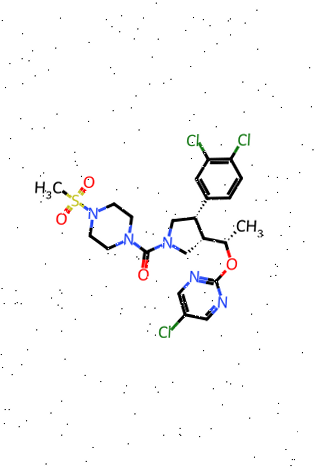 C[C@H](Oc1ncc(Cl)cn1)[C@@H]1CN(C(=O)N2CCN(S(C)(=O)=O)CC2)C[C@@H]1c1ccc(Cl)c(Cl)c1